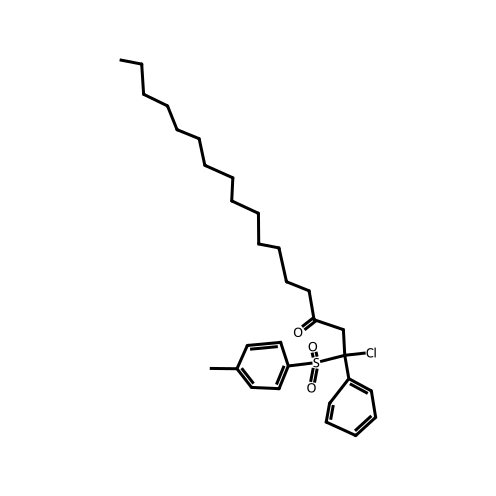 CCCCCCCCCCCCCCC(=O)CC(Cl)(c1ccccc1)S(=O)(=O)c1ccc(C)cc1